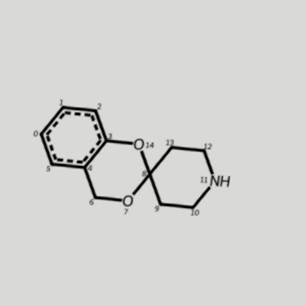 c1ccc2c(c1)COC1(CCNCC1)O2